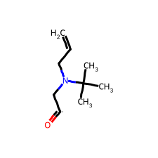 C=CCN(C[C]=O)C(C)(C)C